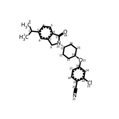 CC(C)c1ccc2c(c1)CN([C@H]1CC[C@H](Oc3ccc(C#N)c(Cl)c3)CC1)C2=O